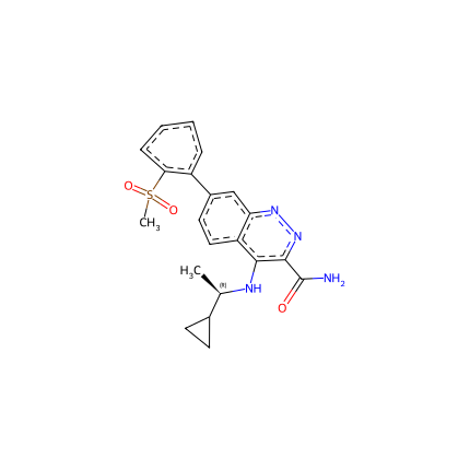 C[C@@H](Nc1c(C(N)=O)nnc2cc(-c3ccccc3S(C)(=O)=O)ccc12)C1CC1